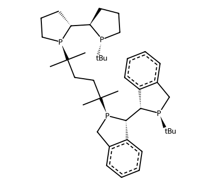 CC(C)(C)[P@]1Cc2ccccc2[C@H]1[C@@H]1c2ccccc2C[P@@]1C(C)(C)CCC(C)(C)[P@@]1CCC[C@@H]1[C@H]1CCC[P@]1C(C)(C)C